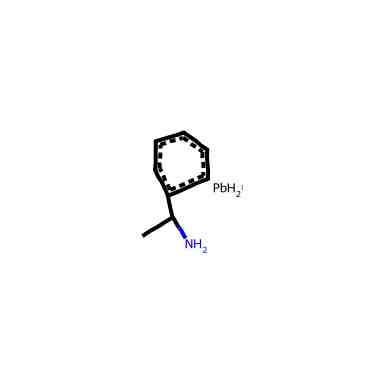 CC(N)c1ccccc1.[PbH2]